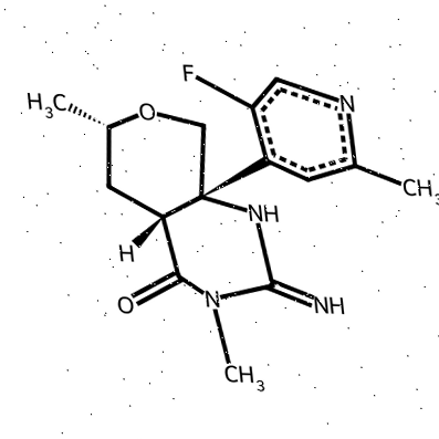 Cc1cc([C@]23CO[C@@H](C)C[C@H]2C(=O)N(C)C(=N)N3)c(F)cn1